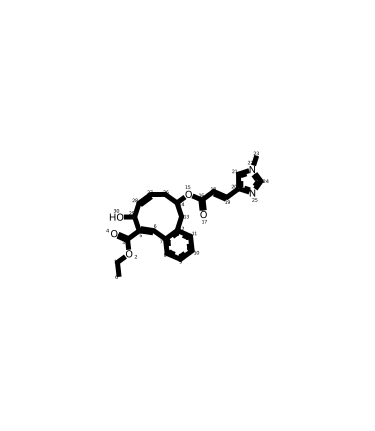 CCOC(=O)/C1=C\c2ccccc2CC(OC(=O)/C=C/c2cn(C)cn2)C/C=C\C1O